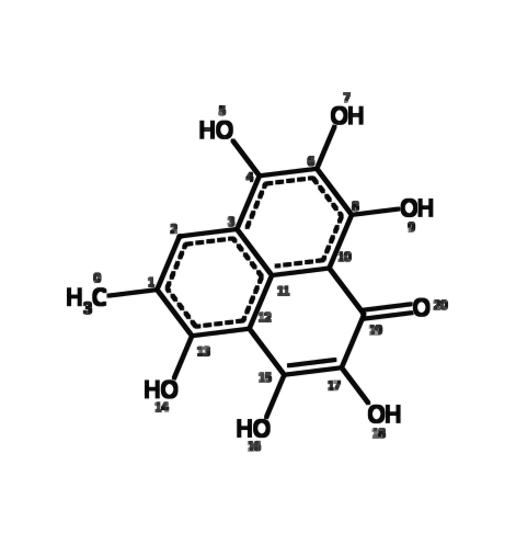 Cc1cc2c(O)c(O)c(O)c3c2c(c1O)C(O)=C(O)C3=O